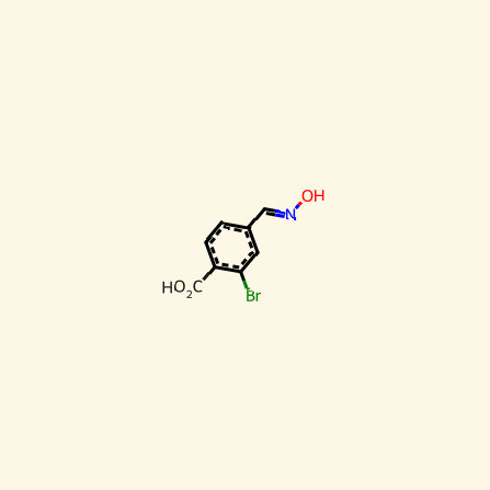 O=C(O)c1ccc(C=NO)cc1Br